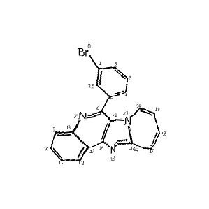 Brc1cccc(-c2nc3ccccc3c3nc4ccccn4c23)c1